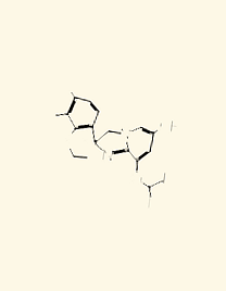 Fc1ccc2c(c1F)SCC[C@@]21CN2C=C(C(F)(F)F)C=C(OC(F)F)C2=N1